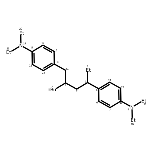 CCCCC([CH]C(CC)c1ccc(N(CC)CC)cc1)Cc1ccc(N(CC)CC)cc1